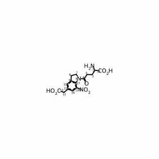 NC(CCC(=O)N1CCc2cc(CC(=O)O)cc([N+](=O)[O-])c21)C(=O)O